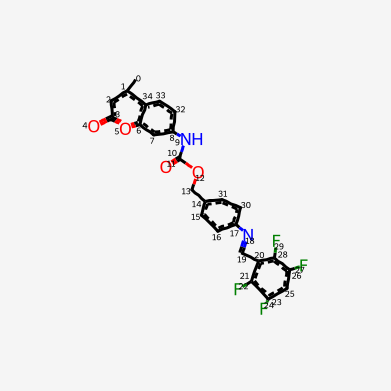 Cc1cc(=O)oc2cc(NC(=O)OCc3ccc(/N=C/c4c(F)c(F)cc(F)c4F)cc3)ccc12